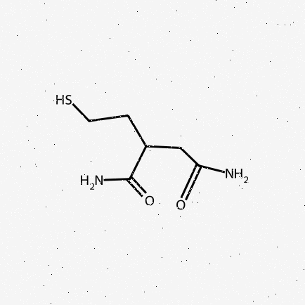 NC(=O)CC(CCS)C(N)=O